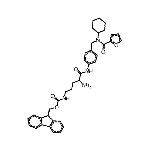 N[C@@H](CCCNC(=O)OCC1c2ccccc2-c2ccccc21)C(=O)Nc1ccc(CN(C(=O)c2ccco2)C2CCCCC2)cc1